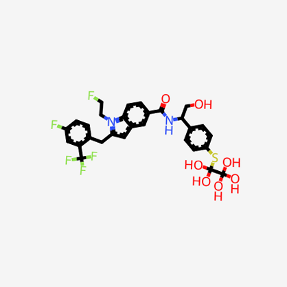 O=C(NC(CO)c1ccc(SC(O)(O)C(O)(O)O)cc1)c1ccc2c(c1)cc(Cc1ccc(F)cc1C(F)(F)F)n2CCF